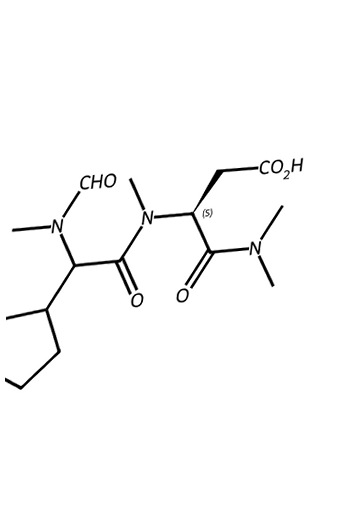 CN(C)C(=O)[C@H](CC(=O)O)N(C)C(=O)C(C1CCCC1)N(C)C=O